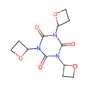 O=c1n(C2CCO2)c(=O)n(C2CCO2)c(=O)n1C1CCO1